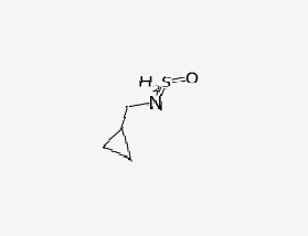 O=[SH2]=NCC1CC1